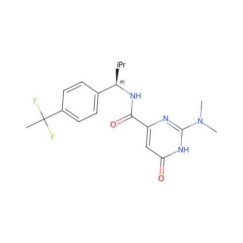 CC(C)[C@@H](NC(=O)c1cc(=O)[nH]c(N(C)C)n1)c1ccc(C(C)(F)F)cc1